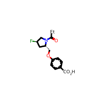 CCC(=O)N1C[C@H](F)C[C@H]1COc1ccc(C(=O)O)cc1